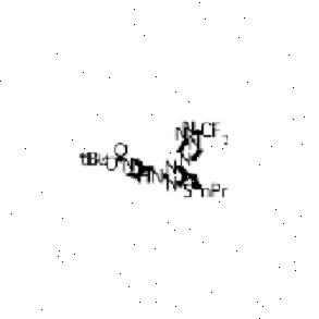 CCCc1cc2c(N3CCn4c(nnc4C(F)(F)F)C3)nc(NCC3CCN(C(=O)OC(C)(C)C)C3)nc2s1